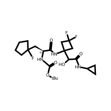 CC(C)(C)OC(=O)N[C@@H](CC1(F)CCCC1)C(=O)NC1(C(O)C(=O)NC2CC2)CC(F)(F)C1